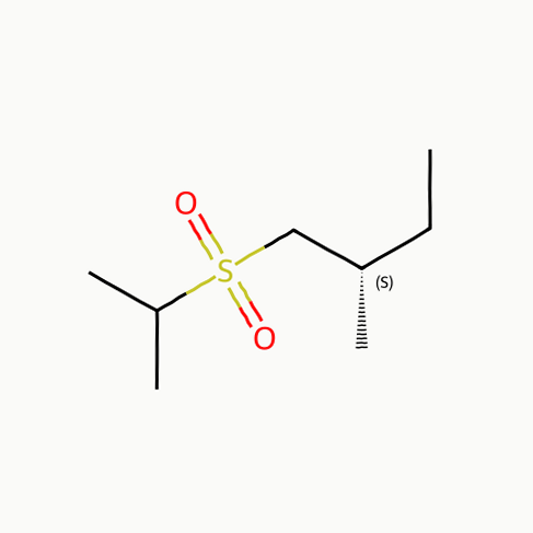 CC[C@H](C)CS(=O)(=O)C(C)C